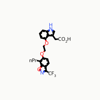 CCCc1c(OCCOc2cccc3[nH]cc(CC(=O)O)c23)ccc2c(C(F)(F)F)noc12